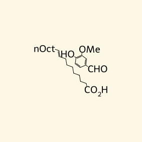 CCCCCCCCC=CCCCCCCCC(=O)O.COc1cc(C=O)ccc1O